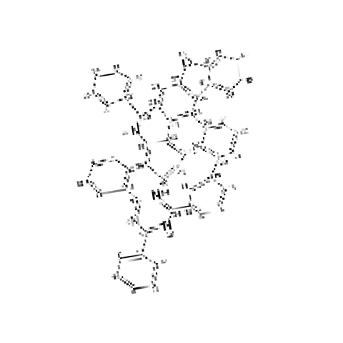 c1ccc(-c2nc(-c3ccccc3)nc(-c3cccc(-c4cccc(-c5c6c(cc7c(-c8ccccc8)nc8ccccc8c57)oc5ccccc56)c4)c3)n2)cc1